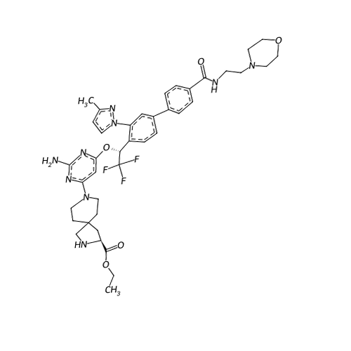 CCOC(=O)[C@@H]1CC2(CCN(c3cc(O[C@H](c4ccc(-c5ccc(C(=O)NCCN6CCOCC6)cc5)cc4-n4ccc(C)n4)C(F)(F)F)nc(N)n3)CC2)CN1